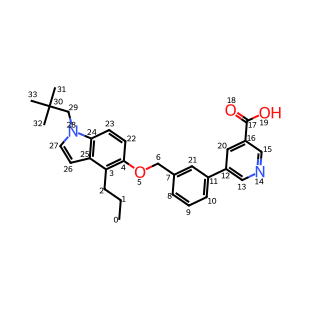 CCCc1c(OCc2cccc(-c3cncc(C(=O)O)c3)c2)ccc2c1ccn2CC(C)(C)C